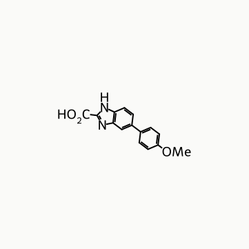 COc1ccc(-c2ccc3[nH]c(C(=O)O)nc3c2)cc1